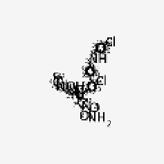 NC(=O)C(=O)N1CCc2c(c(-c3ccc(Cl)c(-c4ccc(CNCc5ccc(Cl)cc5)cc4)c3)nn2C[C@H](O)CN2CCSCC2)C1